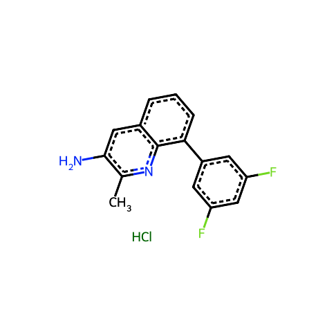 Cc1nc2c(-c3cc(F)cc(F)c3)cccc2cc1N.Cl